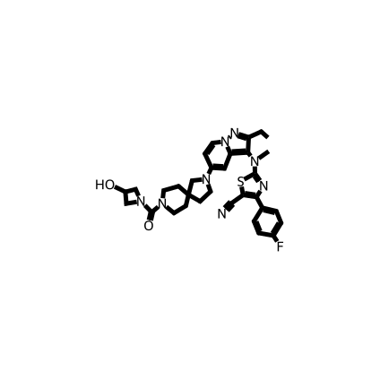 CCc1nn2ccc(N3CCC4(CCN(C(=O)N5CC(O)C5)CC4)C3)cc2c1N(C)c1nc(-c2ccc(F)cc2)c(C#N)s1